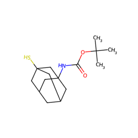 CC(C)(C)OC(=O)NC12CC3CC(CC(S)(C3)C1)C2